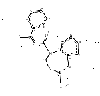 CC(=CC(=O)N1CCN(C(=O)O)Cc2ccccc21)c1ccccc1